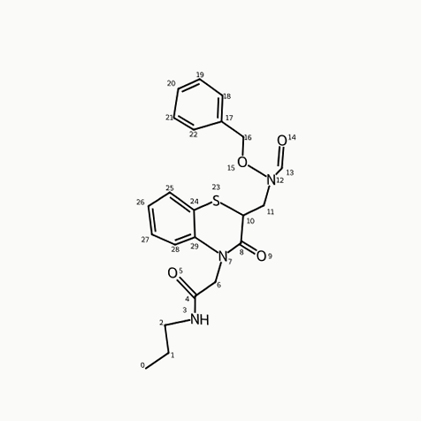 CCCNC(=O)CN1C(=O)C(CN(C=O)OCc2ccccc2)Sc2ccccc21